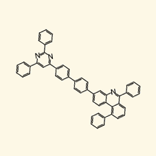 c1ccc(-c2cc(-c3ccc(-c4ccc(-c5ccc6c(c5)nc(-c5ccccc5)c5cccc(-c7ccccc7)c56)cc4)cc3)nc(-c3ccccc3)n2)cc1